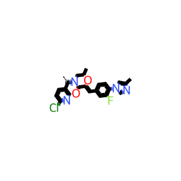 Cc1cn(-c2ccc(C=C3OC(C)CN([C@@H](C)c4ccc(Cl)nc4)C3=O)cc2F)cn1